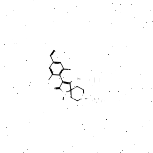 C=Cc1cc(C)c(C2=C(OC(=O)OCC)C3(CCN(OC)CC3)N(C)C2=O)c(C)c1